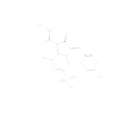 CCCS(=N)(=O)c1nc(N)c2c(n1)n(Cc1ccc(Cl)cc1)c(=O)n2C(=O)N(C)CC